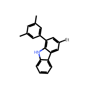 CCc1cc(-c2cc(C)[c]c(C)c2)c2[nH]c3ccccc3c2c1